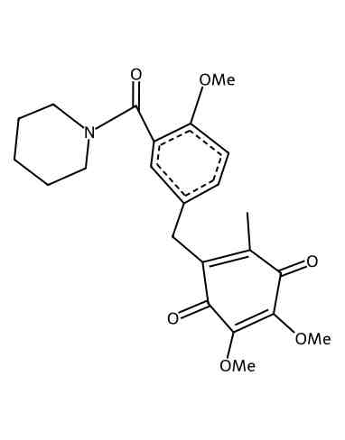 COC1=C(OC)C(=O)C(Cc2ccc(OC)c(C(=O)N3CCCCC3)c2)=C(C)C1=O